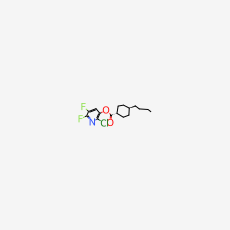 CCCC[C@H]1CC[C@H](C(=O)Oc2cc(F)c(F)nc2Cl)CC1